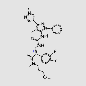 COCCCN(C)[C@@H](C)/C(=C/NC(=O)Nc1c(C)c(-c2cnn(C)c2)nn1-c1ccccc1)c1ccc(F)c(F)c1